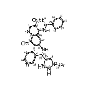 CC[C@@H](Nc1c(C#N)cnc2c(Cl)cc(N[C@H](C3=CN(C(C)C)NN3)c3cccnc3)cc12)c1ccccc1